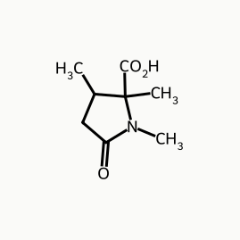 CC1CC(=O)N(C)C1(C)C(=O)O